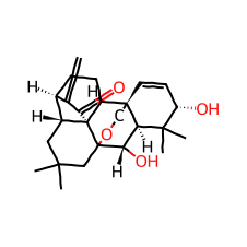 C=C1C(=O)[C@@]23[C@@H]4CC(C)(C)CC25OC[C@]2(C=C[C@H](O)C(C)(C)[C@H]2[C@@H]5O)[C@@H]3CC[C@@H]14